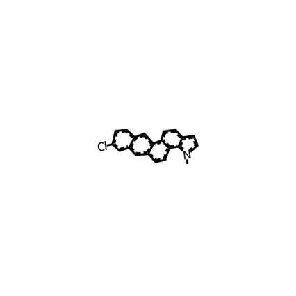 Cn1ccc2ccc3c4cc5ccc(Cl)cc5cc4ccc3c21